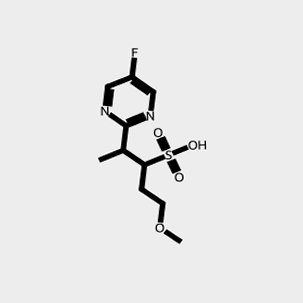 COCCC(C(C)c1ncc(F)cn1)S(=O)(=O)O